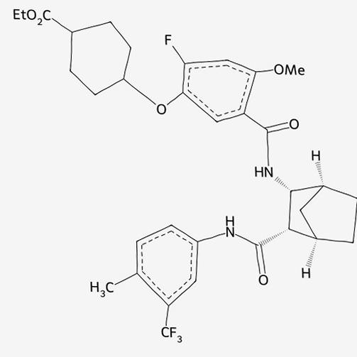 CCOC(=O)C1CCC(Oc2cc(C(=O)N[C@@H]3[C@H]4CC[C@H](C4)[C@@H]3C(=O)Nc3ccc(C)c(C(F)(F)F)c3)c(OC)cc2F)CC1